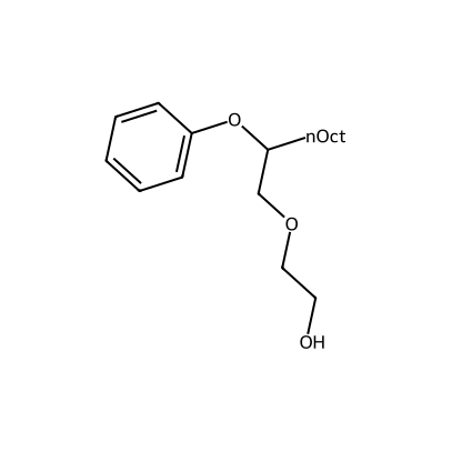 CCCCCCCCC(COCCO)Oc1ccccc1